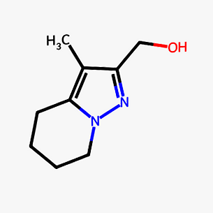 Cc1c(CO)nn2c1CCCC2